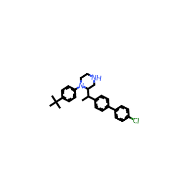 CC(c1ccc(-c2ccc(Cl)cc2)cc1)C1CNCCN1c1ccc(C(C)(C)C)cc1